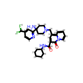 NC1(c2cc(C(F)F)ccn2)CCN(Cc2cc(C(=O)NC3CCCCC3)c(=O)n3ccccc23)CC1